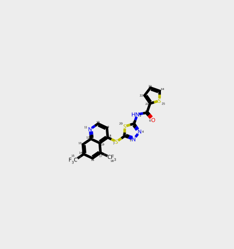 O=C(Nc1nnc(Sc2ccnc3cc(C(F)(F)F)cc(C(F)(F)F)c23)s1)c1cccs1